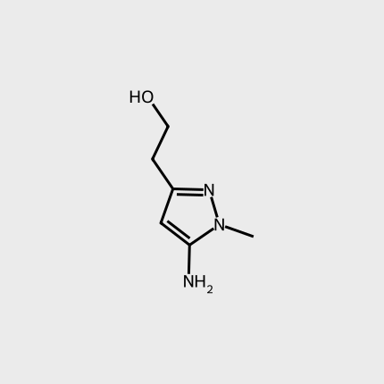 Cn1nc(CCO)cc1N